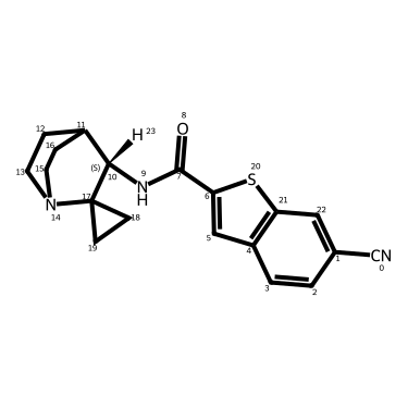 N#Cc1ccc2cc(C(=O)N[C@H]3C4CCN(CC4)C34CC4)sc2c1